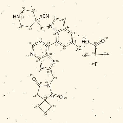 N#CC1(Cn2ccc3cc(Cl)cc(-c4ccnc5cc(CN6C(=O)CC7(CCC7)C6=O)sc45)c32)CCNCC1.O=C(O)C(F)(F)F